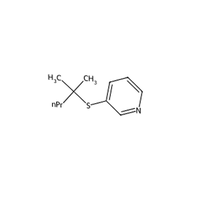 CCCC(C)(C)Sc1cccnc1